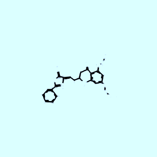 COSc1cc2c(c(SOC)c1)C(=O)CC(CC=C1N=C(c3ccccc3)OC1=O)O2